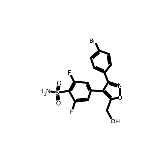 NS(=O)(=O)c1c(F)cc(-c2c(-c3ccc(Br)cc3)noc2CO)cc1F